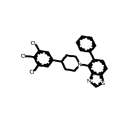 Clc1cc(C2CCN(c3c(-c4ccccc4)ccc4scnc34)CC2)cc(Cl)c1Cl